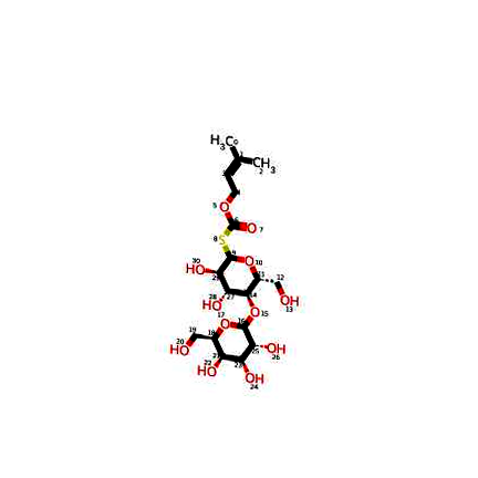 CC(C)=CCOC(=O)SC1O[C@H](CO)[C@@H](OC2O[C@H](CO)[C@H](O)[C@H](O)[C@H]2O)[C@H](O)[C@H]1O